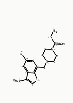 CCOC(=O)c1coc2c(CN3CCN(C(=O)OC(C)(C)C)CC3)cc(Br)cc12